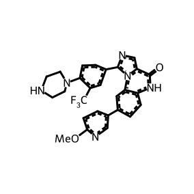 COc1ccc(-c2ccc3[nH]c(=O)c4cnc(-c5ccc(N6CCNCC6)c(C(F)(F)F)c5)n4c3c2)cn1